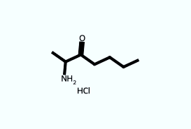 CCCCC(=O)C(C)N.Cl